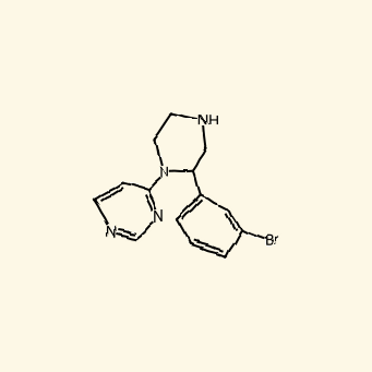 Brc1cccc(C2CNCCN2c2ccncn2)c1